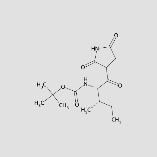 CC[C@H](C)[C@H](NC(=O)OC(C)(C)C)C(=O)C1CC(=O)NC1=O